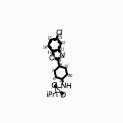 CC(C)S(=O)(=O)NC1CCC(c2nc3cc(Cl)ccc3o2)CC1